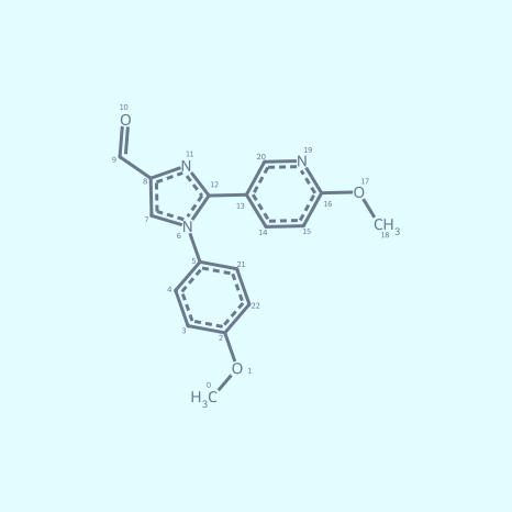 COc1ccc(-n2cc(C=O)nc2-c2ccc(OC)nc2)cc1